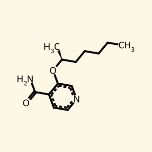 CCCCC[C@H](C)Oc1cnccc1C(N)=O